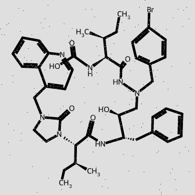 CC[C@H](C)[C@H](NC(=O)O)C(=O)NN(Cc1ccc(Br)cc1)C[C@H](O)[C@H](Cc1ccccc1)NC(=O)[C@H]([C@@H](C)CC)N1CCN(Cc2ccnc3ccccc23)C1=O